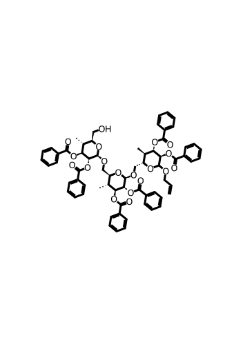 C=CCOC1O[C@H](CO[C@@H]2O[C@H](CO[C@@H]3O[C@H](CO)[C@@H](C)[C@H](OC(=O)c4ccccc4)[C@H]3OC(=O)c3ccccc3)[C@@H](C)[C@H](OC(=O)c3ccccc3)[C@H]2OC(=O)c2ccccc2)[C@@H](C)[C@H](OC(=O)c2ccccc2)[C@H]1OC(=O)c1ccccc1